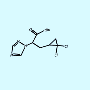 CC(C)(C)C(=O)C(CC1CC1(Cl)Cl)n1cncn1